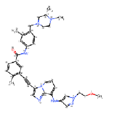 COCCn1cc(Nc2cccn3c(C#Cc4cc(C(=O)Nc5ccc(CN6CCN(C)[C@@H](C)C6)c(C)c5)ccc4C)cnc23)cn1